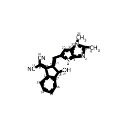 Cc1nc2sc(/C=C3/C(=C(C#N)C#N)c4ccccc4C3O)cc2n1C